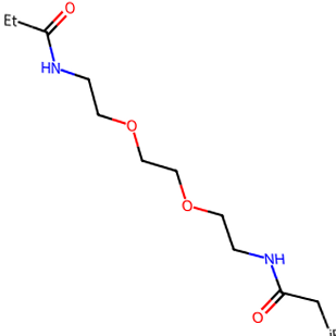 CCC(=O)NCCOCCOCCNC(=O)CC(C)C